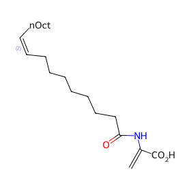 C=C(NC(=O)CCCCCCC/C=C\CCCCCCCC)C(=O)O